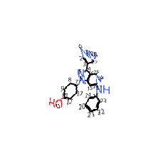 Cn1cc(-c2nn(C3CCC(O)CC3)c3cc(Nc4ccccc4)ncc23)cn1